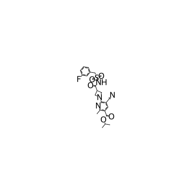 Cc1nc(N2CC(C(=O)NS(=O)(=O)Cc3cccc(F)c3)C2)c(C#N)cc1C(=O)OC(C)C